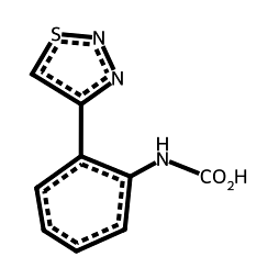 O=C(O)Nc1ccccc1-c1csnn1